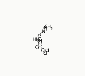 CN1CCN(CCc2ccc(Nc3ncc4c(n3)-c3ccccc3C(c3ccc(Cl)c(Cl)c3)C4)cc2)CC1